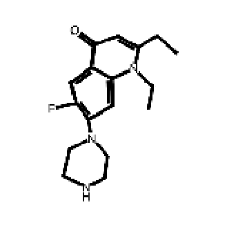 CCc1cc(=O)c2cc(F)c(N3CCNCC3)cc2n1CC